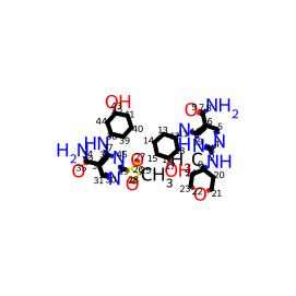 CC1(Nc2ncc(C(N)=O)c(N[C@@H]3CCC[C@H](O)C3)n2)CCOCC1.CS(=O)(=O)c1ncc(C(N)=O)c(N[C@@H]2CCC[C@H](O)C2)n1